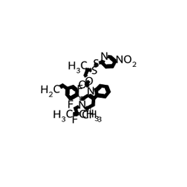 C=Cc1cc(F)c([C@@H]2c3c(c4ccccc4n3C(=O)OC[C@@H](C)SSc3ccc([N+](=O)[O-])cn3)C[C@@H](C)N2CC(C)(C)F)c(F)c1